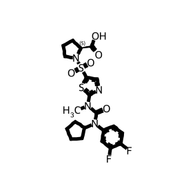 CN(C(=O)N(c1ccc(F)c(F)c1)C1CCCC1)c1ncc(S(=O)(=O)N2CCC[C@H]2C(=O)O)s1